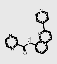 O=C(Nc1cccc2ccc(-c3ccncc3)nc12)c1cnccn1